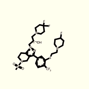 CS(=O)(=O)N1CCc2c(c(-c3ccc(C(F)(F)F)c(SCCN4CCC(F)CC4)c3)nn2C[C@@H](O)CN2CCC(F)(F)CC2)C1